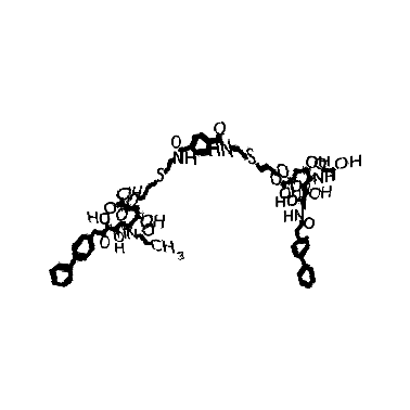 CCC(=O)N[C@H]1[C@H]([C@H](O)[C@H](O)C(=O)Cc2ccc(-c3ccccc3)cc2)O[C@@](OCCCSCCNC(=O)c2ccc(C(=O)NCCSCCCO[C@]3(C(=O)O)C[C@H](O)[C@@H](NC(=O)CO)[C@H]([C@H](O)[C@H](O)CNC(=O)Cc4ccc(-c5ccccc5)cc4)O3)cc2)(C(=O)O)C[C@@H]1O